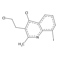 Cc1nc2c(I)cccc2c(Cl)c1CCCl